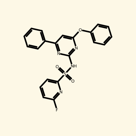 O=S(=O)(Nc1nc(Oc2ccccc2)cc(-c2ccccc2)n1)c1cccc(F)n1